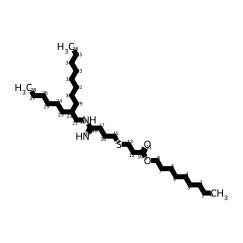 CCCCCCCCCOC(=O)CCSCCCC(=N)NCC(CCCCCC)CCCCCCCC